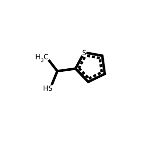 CC(S)c1cccs1